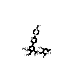 CCCc1cc(C)[nH]c(=O)c1CNC(=O)c1cc(-c2ccc(N3CCN(C(C)C)CC3)nc2)cc(NC(C)C)c1C=N